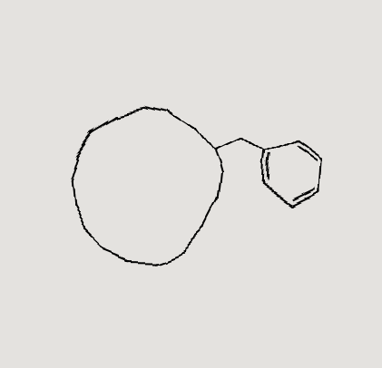 c1ccc(CC2CCCCCCCCCCCCCCCC2)cc1